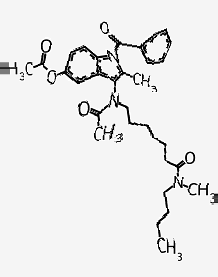 CCCCN(C)C(=O)CCCCCCN(C(C)=O)c1c(C)n(C(=O)c2ccccc2)c2ccc(OC(C)=O)cc12